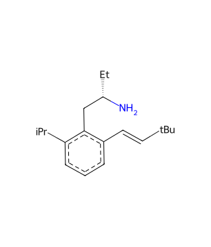 CC[C@H](N)Cc1c(/C=C/C(C)(C)C)cccc1C(C)C